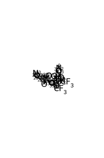 CN1CCN(C(OC(=O)C(F)(F)F)C(=O)Nc2cc(N3C(=O)N(Cc4ccncc4)C(C)(C)C3=O)ccc2OC(F)(F)F)CC1